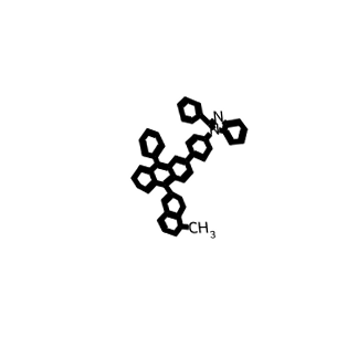 CC1CC=CC2=C1CCC(c1c3c(c(-c4ccccc4)c4cc(C5=CCC(n6c(-c7ccccc7)nc7ccccc76)C=C5)ccc14)=CCCC=3)=C2